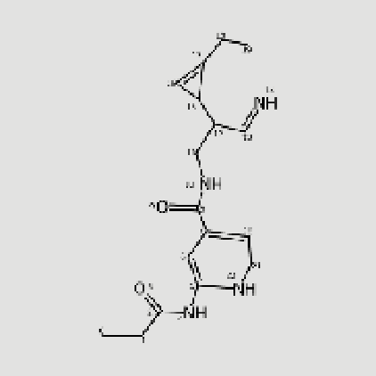 CCC(=O)NC1=CC(C(=O)NCC(C=N)C2C=C2CC)=CCN1